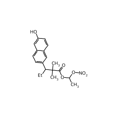 CCC(c1ccc2cc(O)ccc2c1)C(C)(C)C(=O)OC(C)O[N+](=O)[O-]